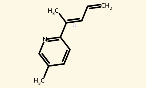 C=C/C=C(\C)c1ccc(C)cn1